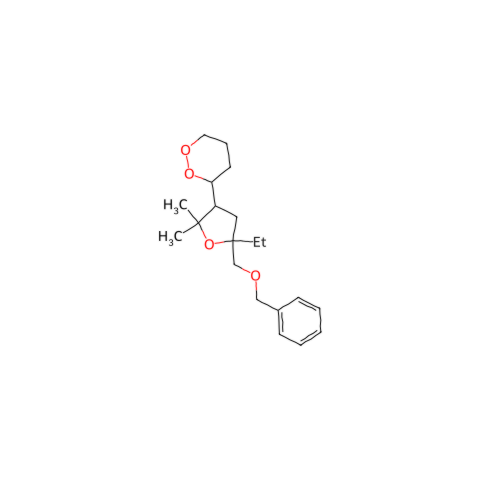 CCC1(COCc2ccccc2)CC(C2CCCOO2)C(C)(C)O1